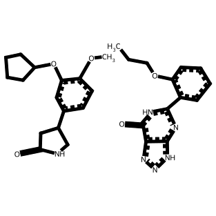 CCCOc1ccccc1-c1nc2[nH]nnc2c(=O)[nH]1.COc1ccc(C2CNC(=O)C2)cc1OC1CCCC1